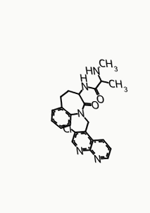 CNC(C)C(=O)NC1CCc2ccccc2N(Cc2c(Cl)cnc3ncccc23)C1=O